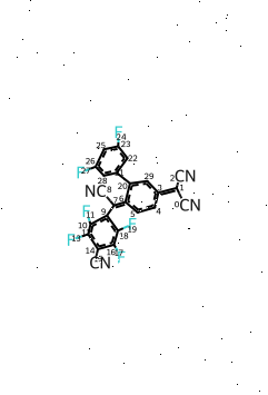 N#CC(C#N)=c1cc/c(=C(/C#N)c2c(F)c(F)c(C#N)c(F)c2F)c(-c2cc(F)cc(F)c2)c1